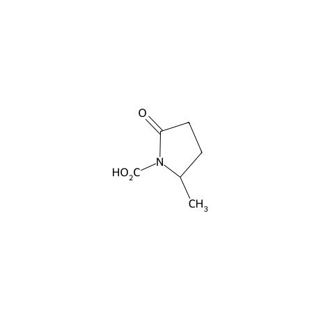 CC1CCC(=O)N1C(=O)O